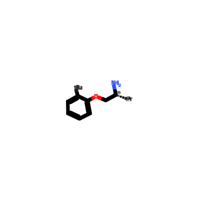 CC(C)[C@@H](N)COc1ccccc1C(C)(C)C